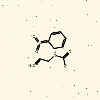 C=CCNC(=O)Cl.O=S(=O)=C1C=CC=CC1